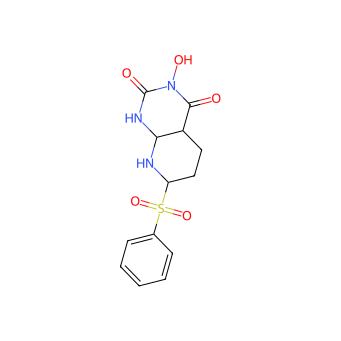 O=C1NC2NC(S(=O)(=O)c3ccccc3)CCC2C(=O)N1O